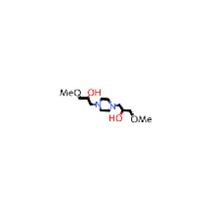 COCC(O)CN1CCN(CC(O)COC)CC1